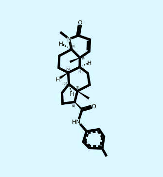 Cc1ccc(NC(=O)[C@H]2CC[C@H]3[C@@H]4CC[C@H]5N(C)C(=O)C=C[C@]5(C)[C@H]4CC[C@]23C)cc1